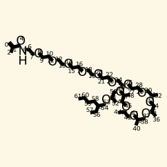 C=C(C)C(=O)NCCOCCOCCOCCOCCOCCOCCOCCOCC(C)OCC(C)OCC(C)OCC(C)OCC(C)OCC(C)OCC(CC)CCCC